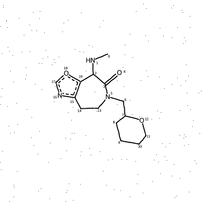 CNC1C(=O)N(CC2CCCCO2)CCc2ncoc21